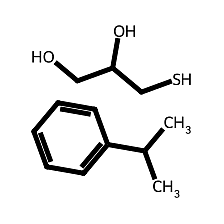 CC(C)c1ccccc1.OCC(O)CS